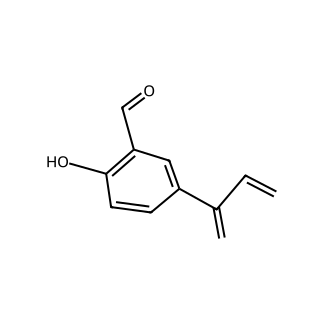 C=CC(=C)c1ccc(O)c(C=O)c1